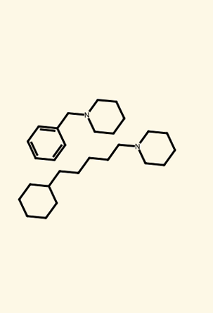 C1CCC(CCCCCN2CCCCC2)CC1.c1ccc(CN2CCCCC2)cc1